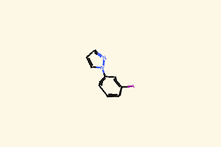 Ic1cccc(-n2cccn2)c1